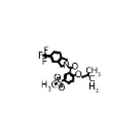 CC(C)COc1ccc(S(C)(=O)=O)cc1C(=O)N1Cc2ccc(C(F)(F)F)cc2C1